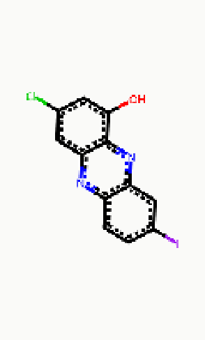 Oc1cc(Cl)cc2nc3ccc(I)cc3nc12